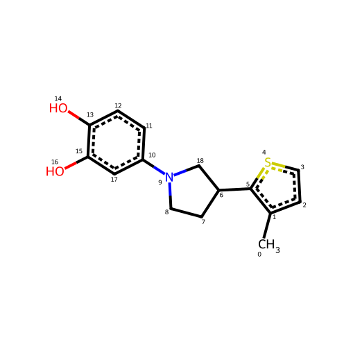 Cc1ccsc1C1CCN(c2ccc(O)c(O)c2)C1